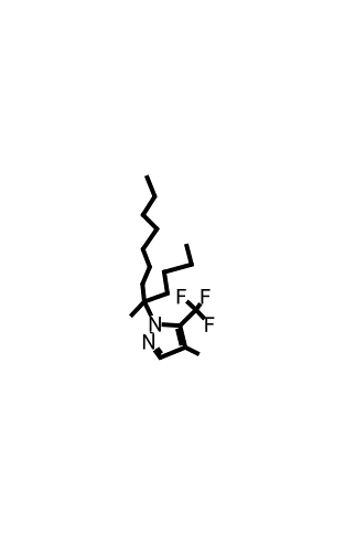 CCCCCCCC(C)(CCCC)n1ncc(C)c1C(F)(F)F